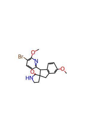 COc1ccc2c(c1)CC1(CCNC1=O)C2c1ccc(Br)c(OC)n1